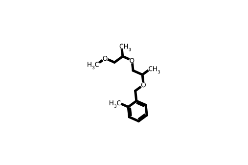 COCC(C)OCC(C)OCc1ccccc1C